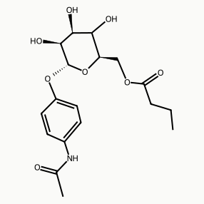 CCCC(=O)OC[C@H]1O[C@H](Oc2ccc(NC(C)=O)cc2)[C@@H](O)[C@@H](O)C1O